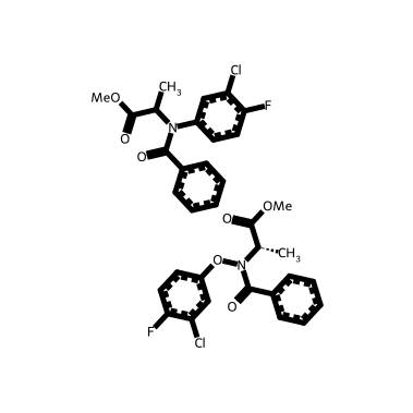 COC(=O)C(C)N(C(=O)c1ccccc1)c1ccc(F)c(Cl)c1.COC(=O)[C@H](C)N(Oc1ccc(F)c(Cl)c1)C(=O)c1ccccc1